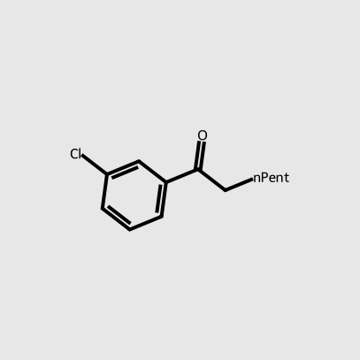 CCCCCCC(=O)c1cccc(Cl)c1